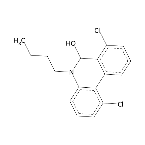 CCCCN1c2cccc(Cl)c2-c2cccc(Cl)c2C1O